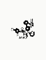 COCCN(c1ccc(-c2ccccc2-c2nnn[nH]2)cc1NC(=O)Nc1ccc(Cl)cc1F)C1CCCCC1